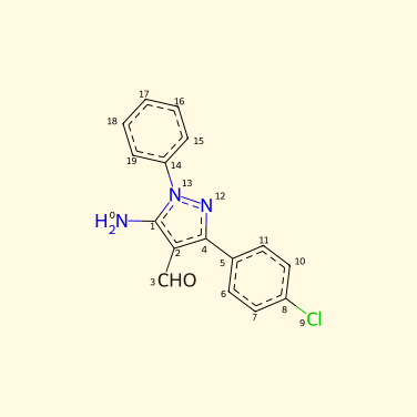 Nc1c(C=O)c(-c2ccc(Cl)cc2)nn1-c1ccccc1